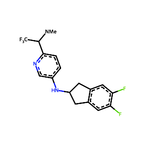 CNC(c1ccc(NC2Cc3cc(F)c(F)cc3C2)cn1)C(F)(F)F